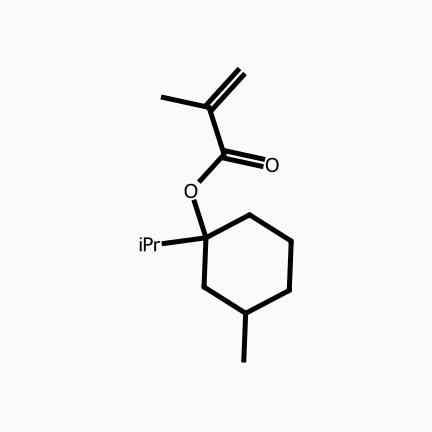 C=C(C)C(=O)OC1(C(C)C)CCCC(C)C1